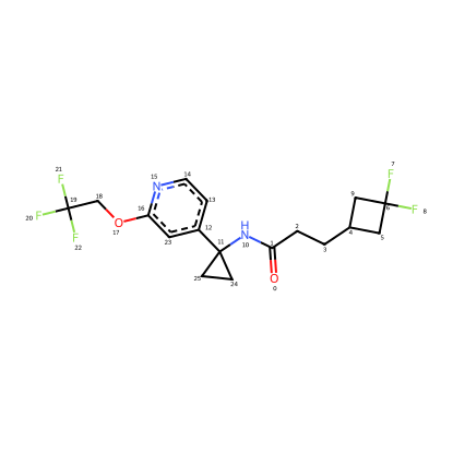 O=C(CCC1CC(F)(F)C1)NC1(c2ccnc(OCC(F)(F)F)c2)CC1